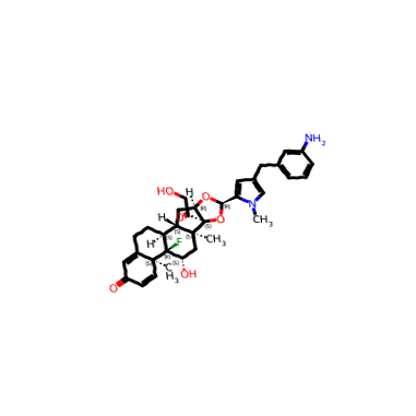 Cn1cc(Cc2cccc(N)c2)cc1[C@@H]1O[C@@H]2C[C@H]3[C@@H]4CCC5=CC(=O)C=C[C@]5(C)[C@@]4(F)[C@@H](O)C[C@]3(C)[C@]2(C(=O)CO)O1